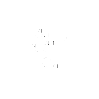 Cc1cnc(F)c(-c2cc(N3CCOCC3)nc3c(-c4ccn[nH]4)nccc23)c1